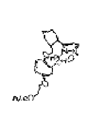 CCCn1nccc1C1CCCCC1COc1cnc(OCCOC)cc1C=O